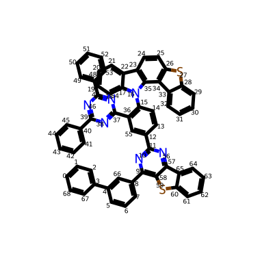 c1ccc(-c2cccc(-c3nc(-c4ccc(-n5c6ccccc6c6ccc7sc8ccccc8c7c65)c(-c5nc(-c6ccccc6)nc(-c6ccccc6)n5)c4)nc4c3sc3ccccc34)c2)cc1